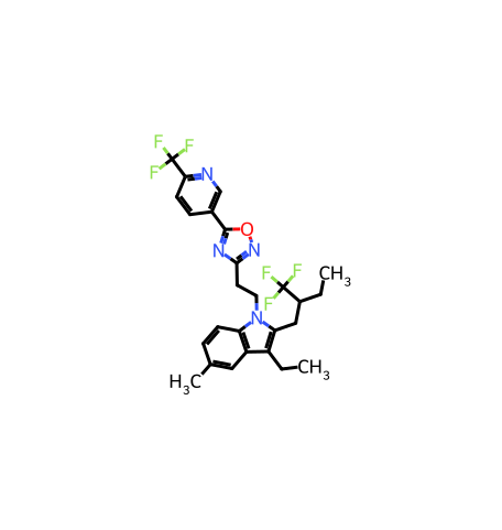 CCc1c(CC(CC)C(F)(F)F)n(CCc2noc(-c3ccc(C(F)(F)F)nc3)n2)c2ccc(C)cc12